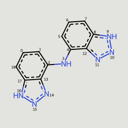 c1cc(Nc2cccc3[nH]nnc23)c2nn[nH]c2c1